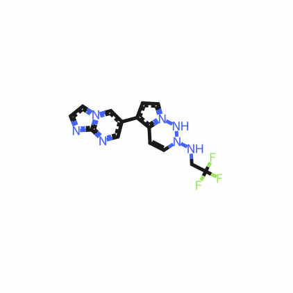 FC(F)(F)CNN1C=Cc2c(-c3cnc4nccn4c3)ccn2N1